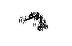 CO[N+]1(c2nnnn2-c2ccccn2)CCN2CC1OC2C(=O)c1cnc(-c2cc[c]c(CC(C)C)c2)c2[nH]ccc12